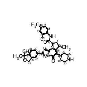 C[C@H]1C[C@H](C(=O)Nc2ccc(C(F)(F)F)cc2Cl)n2c1c(N1CCNCC1)c(=O)n1nc(-c3ccc4c(c3)COC4(C)C)nc21